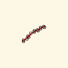 C=C(C)C(=O)OCCCCCCOc1ccc(C(=O)Oc2ccc([C@H]3CC[C@H](OCCCCCCOC(=O)CCCCCOC(=O)CCCCCOC(=O)CCCCCOC(=O)C(=C)C)CC3)cc2)cc1